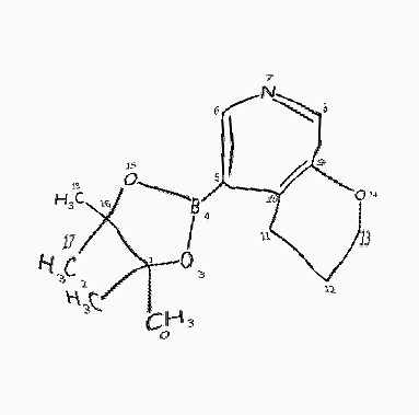 CC1(C)OB(c2cncc3c2CCCO3)OC1(C)C